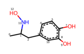 CC(Cc1ccc(O)c(O)c1)NO